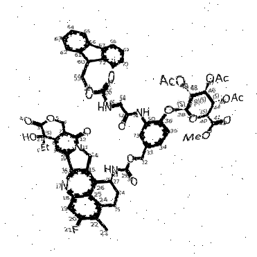 CC[C@@]1(O)C(=O)OCc2c1cc1n(c2=O)Cc2c-1nc1cc(F)c(C)c3c1c2[C@@H](NC(=O)OCc1ccc(O[C@@H]2O[C@H](C(=O)OC)[C@@H](OC(C)=O)[C@H](OC(C)=O)[C@H]2OC(C)=O)c(NC(=O)CNC(=O)OCC2c4ccccc4-c4ccccc42)c1)CC3